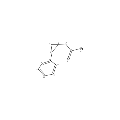 CC(C)C(=O)CC1CC1c1ccccc1